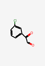 O=CC(=O)c1cccc(Cl)c1